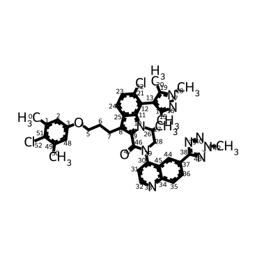 Cc1cc(OCCCc2c3n(c4c(-c5c(C)nn(C)c5C)c(Cl)ccc24)C(C)CN(c2ccnc4ccc(-c5nnn(C)n5)cc24)C3=O)cc(C)c1Cl